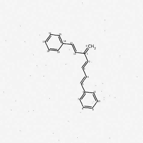 C=C(C=CC=Cc1ccccc1)C=Cc1ccccc1